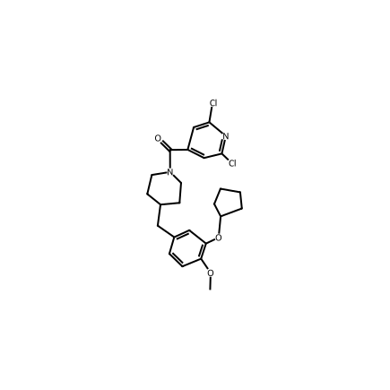 COc1ccc(CC2CCN(C(=O)c3cc(Cl)nc(Cl)c3)CC2)cc1OC1CCCC1